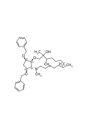 CCCCCCCN(C)[C@H]1[C@H](OCC(C)(O)C(C)CCCC)[C@H](OCc2ccccc2)C[C@@H]1OCc1ccccc1